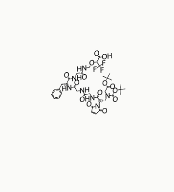 CC(C)(C)OC(=O)CN(C[C@@H](C(=O)NCC(=O)NCC(=O)N[C@@H](Cc1ccccc1)C(=O)NCC(=O)NCOC(C(=O)O)C(F)(F)F)N1C(=O)C=CC1=O)C(=O)OC(C)(C)C